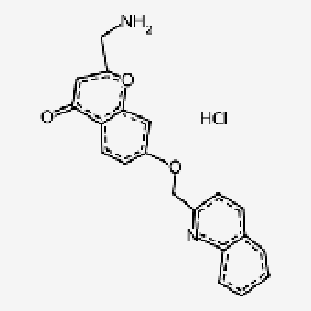 Cl.NCc1cc(=O)c2ccc(OCc3ccc4ccccc4n3)cc2o1